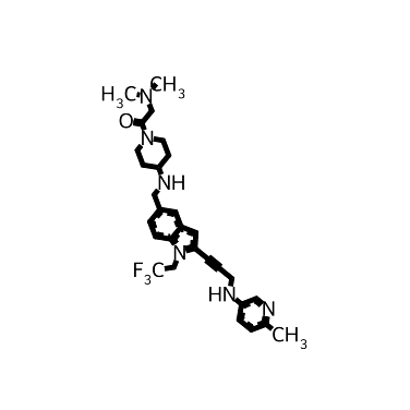 Cc1ccc(NCC#Cc2cc3cc(CNC4CCN(C(=O)CN(C)C)CC4)ccc3n2CC(F)(F)F)cn1